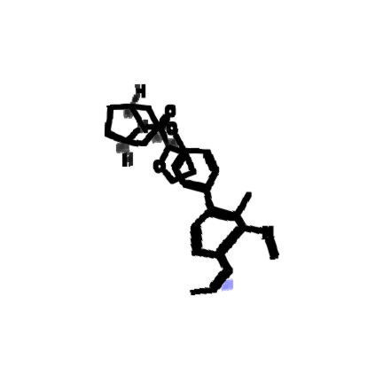 C=Nc1c(/C=C\C)ccc(-c2ccc(O[C@@H]3C[C@H]4CC[C@@H](C3)N4C(=O)[C@H]3CCCO3)cc2)c1C